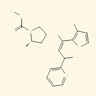 Cc1ccsc1/C(=C\C(C)c1ccccn1)O[C@@H]1C[C@@H](C(=O)O)N(C(=O)OC(C)(C)C)C1